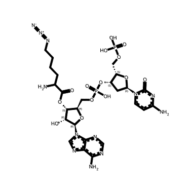 [N-]=[N+]=NCCCCC(N)C(=O)O[C@H]1[C@@H](O)[C@H](n2cnc3c(N)ncnc32)O[C@@H]1COP(=O)(O)O[C@H]1C[C@H](n2ccc(N)nc2=O)O[C@H]1COP(=O)(O)O